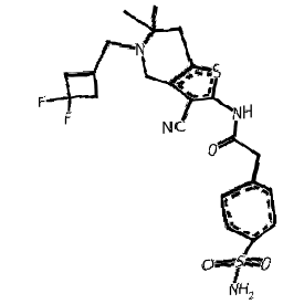 CC1(C)Cc2sc(NC(=O)Cc3ccc(S(N)(=O)=O)cc3)c(C#N)c2CN1CC1CC(F)(F)C1